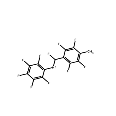 Cc1c(F)c(F)c([CH](F)[Hf][c]2c(F)c(F)c(F)c(F)c2F)c(F)c1F